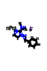 CCCN1CCN(N=Cc2ccccc2)C1=[N+](C)C.[I-]